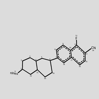 CCCCCCC1CCC2CC(c3ccc4c(F)c(C#N)ccc4c3)CCC2C1